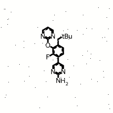 CC(C)(C)Cc1ccc(-c2cnc(N)nc2)c(F)c1Oc1ncccn1